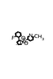 Cc1ccc(S(=O)(=O)n2c[c]cc2-c2ccccc2F)cn1